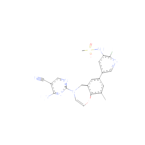 Cc1cc(-c2cnc(Cl)c(NS(C)(=O)=O)c2)cc2c1OC=CN(c1ncc(C#N)c(N)n1)C2